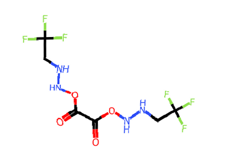 O=C(ONNCC(F)(F)F)C(=O)ONNCC(F)(F)F